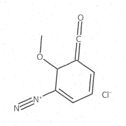 COC1C(=C=O)C=CC=C1[N+]#N.[Cl-]